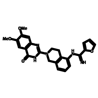 COc1cc2nc(N3CCc4c(cccc4NC(=N)c4ccco4)C3)[nH]c(=O)c2cc1OC